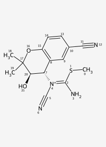 CSC(N)=[N+](C#N)[C@H]1c2cc(C#N)ccc2OC(C)(C)[C@@H]1O